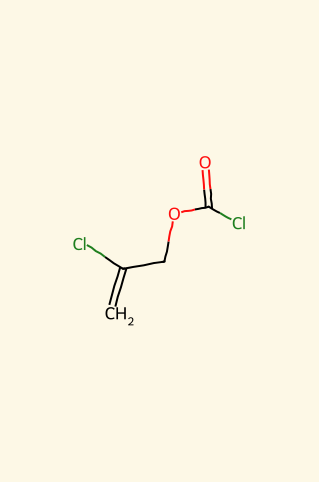 C=C(Cl)COC(=O)Cl